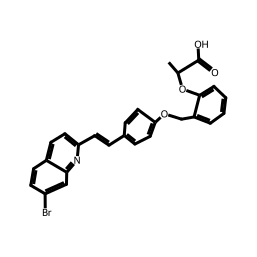 CC(Oc1ccccc1COc1ccc(C=Cc2ccc3ccc(Br)cc3n2)cc1)C(=O)O